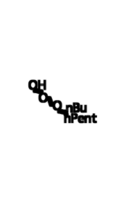 CCCCCC(CCCC)COCCOCCO